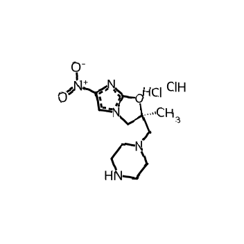 C[C@]1(CN2CCNCC2)Cn2cc([N+](=O)[O-])nc2O1.Cl.Cl